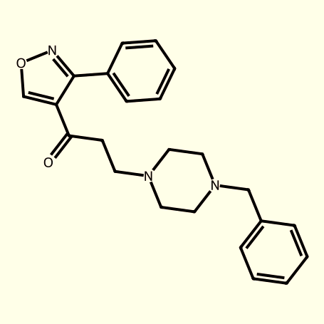 O=C(CCN1CCN(Cc2ccccc2)CC1)c1conc1-c1ccccc1